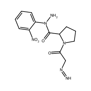 N=NCC(=O)N1CCCC1C(=O)N(N)c1ccccc1[N+](=O)[O-]